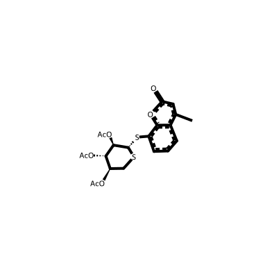 CC(=O)O[C@@H]1[C@@H](OC(C)=O)[C@H](Sc2cccc3c(C)cc(=O)oc23)SC[C@H]1OC(C)=O